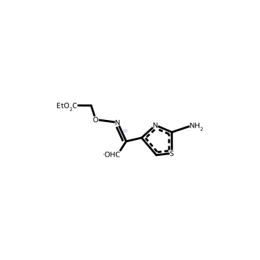 CCOC(=O)CO/N=C(\[C]=O)c1csc(N)n1